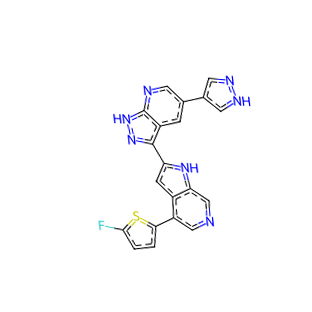 Fc1ccc(-c2cncc3[nH]c(-c4n[nH]c5ncc(-c6cn[nH]c6)cc45)cc23)s1